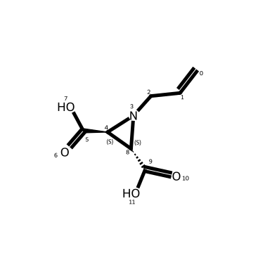 C=CCN1[C@H](C(=O)O)[C@H]1C(=O)O